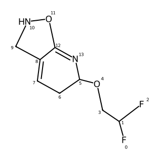 FC(F)COC1CC=C2CNOC2=N1